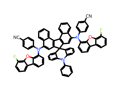 N#Cc1ccc(N(c2cc3c(c4ccccc24)-c2c(cc(N(c4ccc(C#N)cc4)c4cccc5c4oc4c(F)cccc45)c4ccccc24)C32c3ccccc3N(c3ccccc3)c3ccccc32)c2cccc3c2oc2c(F)cccc23)cc1